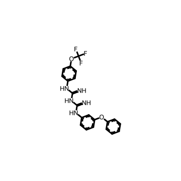 N=C(NC(=N)Nc1cccc(Oc2ccccc2)c1)Nc1ccc(OC(F)(F)F)cc1